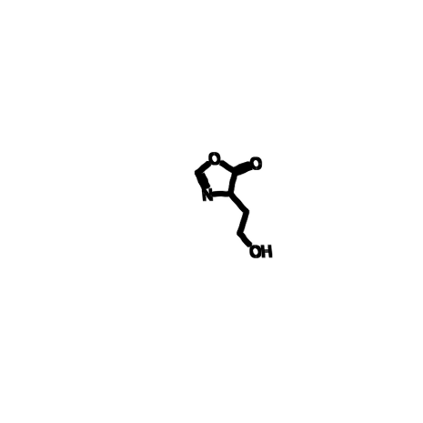 O=C1OC=NC1CCO